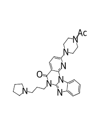 CC(=O)N1CCN(c2ccc3c(=O)n(CCCN4CCCC4)c4nc5ccccc5n4c3n2)CC1